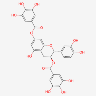 O=C(Oc1cc(O)c2c(c1)O[C@H](c1ccc(O)c(O)c1)[C@@H](OC(=O)c1cc(O)c(O)c(O)c1)C2)c1cc(O)c(O)c(O)c1